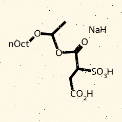 CCCCCCCCOC(C)OC(=O)C(CC(=O)O)S(=O)(=O)O.[NaH]